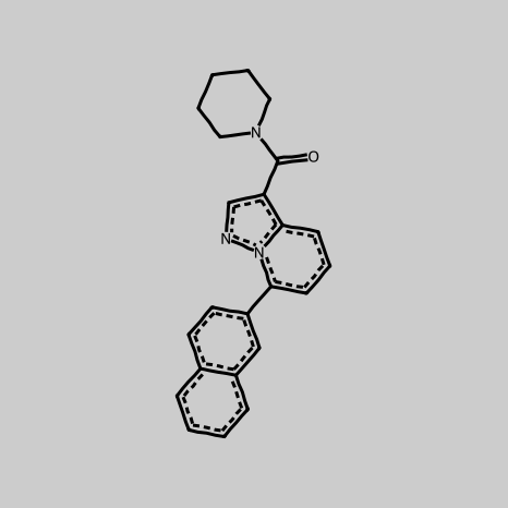 O=C(c1cnn2c(-c3ccc4ccccc4c3)cccc12)N1CCCCC1